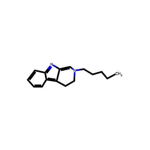 CCCCCN1C=C2N=c3ccccc3=C2CC1